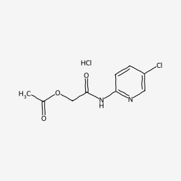 CC(=O)OCC(=O)Nc1ccc(Cl)cn1.Cl